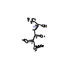 COC(=O)C(=O)/C=C(\O)C(F)(F)F